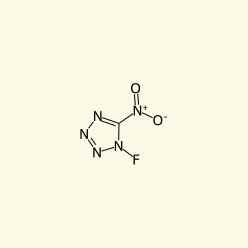 O=[N+]([O-])c1nnnn1F